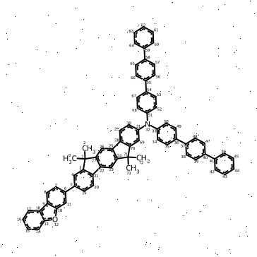 CC1(C)c2cc(-c3ccc4c(c3)oc3ccccc34)ccc2-c2cc3c(cc21)-c1ccc(N(c2ccc(-c4ccc(-c5ccccc5)cc4)cc2)c2ccc(-c4ccc(-c5ccccc5)cc4)cc2)cc1C3(C)C